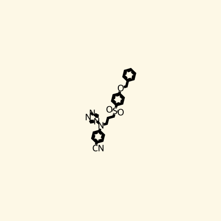 N#Cc1ccc(N(CCCS(=O)(=O)c2ccc(OCc3ccccc3)cc2)n2cnnc2)cc1